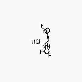 Cl.FCc1cccc(C#CCCn2nc3cc(F)cc(F)c3n2)n1